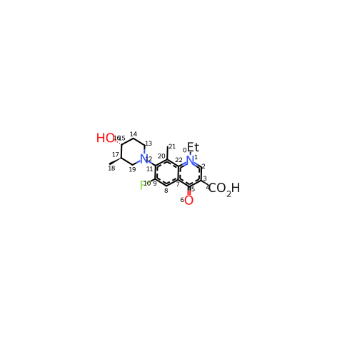 CCn1cc(C(=O)O)c(=O)c2cc(F)c(N3CC[C@@H](O)[C@H](C)C3)c(C)c21